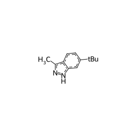 Cc1n[nH]c2cc(C(C)(C)C)ccc12